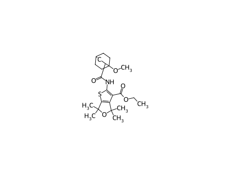 CCOC(=O)c1c(NC(=O)C2CC3CCC2(OC)CC3)sc2c1C(C)(C)OC2(C)C